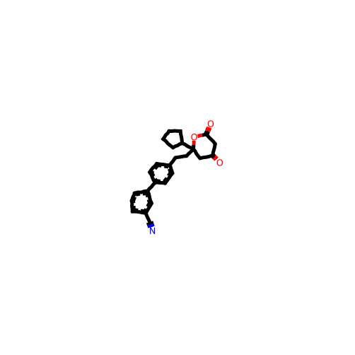 N#Cc1cccc(-c2ccc(CCC3(C4CCCC4)CC(=O)CC(=O)O3)cc2)c1